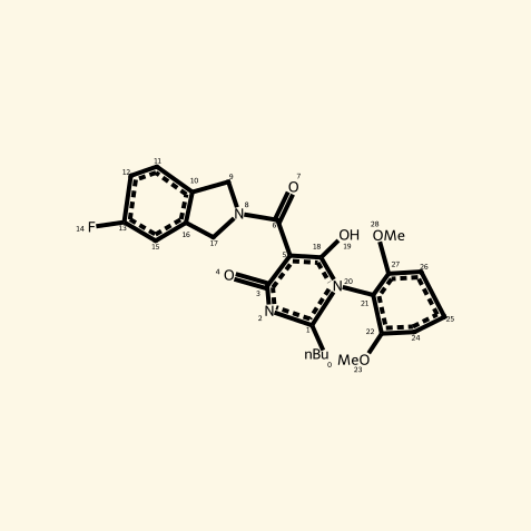 CCCCc1nc(=O)c(C(=O)N2Cc3ccc(F)cc3C2)c(O)n1-c1c(OC)cccc1OC